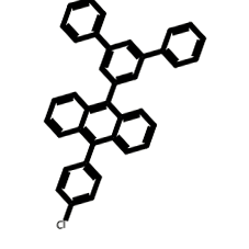 Clc1ccc(-c2c3ccccc3c(-c3cc(-c4ccccc4)cc(-c4ccccc4)c3)c3ccccc23)cc1